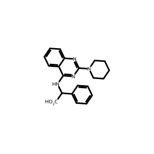 O=C(O)C(Nc1nc(N2CCCCC2)nc2ccccc12)c1ccccc1